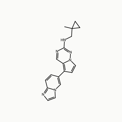 CC1(CNc2ncc3c(-c4ccc5nccn5c4)ccn3n2)CC1